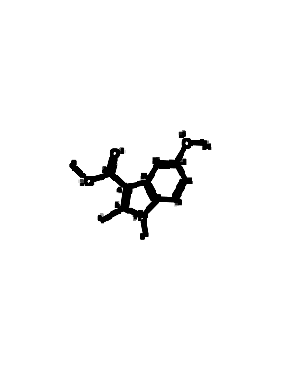 COC(=O)c1c(C)n(C)c2ccc(OC)cc12